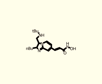 CCCCC1N=C2C=C(/C=C/C(=O)NO)C=CN2C1CNC(C)(C)C